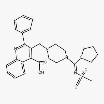 CS(=O)(=O)/N=C(\N1CCCC1)N1CCN(Cc2c(-c3ccccc3)nc3ccccc3c2C(=O)O)CC1